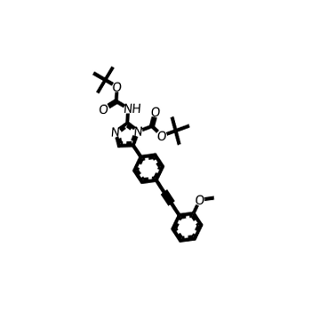 COc1ccccc1C#Cc1ccc(-c2cnc(NC(=O)OC(C)(C)C)n2C(=O)OC(C)(C)C)cc1